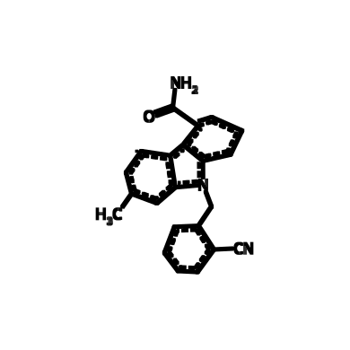 Cc1c[c]c2c3c(C(N)=O)cccc3n(Cc3ccccc3C#N)c2c1